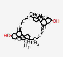 C[C@@H]1CCCCCC[C@H]2CC3C[C@H](O)CC[C@]3(C)[C@H]3CC[C@]4(C)[C@H](CC[C@H]4C23)[C@H](C)CCCCCC[C@H]2CC3C[C@H](O)CC[C@]3(C)[C@H]3CC[C@]4(C)[C@@H]1CC[C@H]4C23